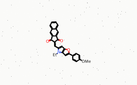 CCn1c(C=C2C(=O)c3cc4ccccc4cc3C2=O)cc2oc(-c3ccc(OC)cc3)cc21